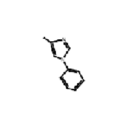 Cc1cn(-c2[c]cccc2)cn1